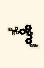 CCNC(=O)OC1CCC(c2ccccc2)(c2noc(Cc3cccc(OC)c3)n2)CC1